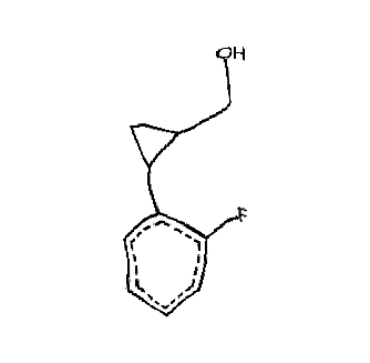 OCC1CC1c1ccccc1F